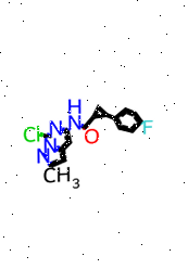 Cc1cc2cc(NC(=O)C3CC3c3ccc(F)cc3)nc(Cl)n2n1